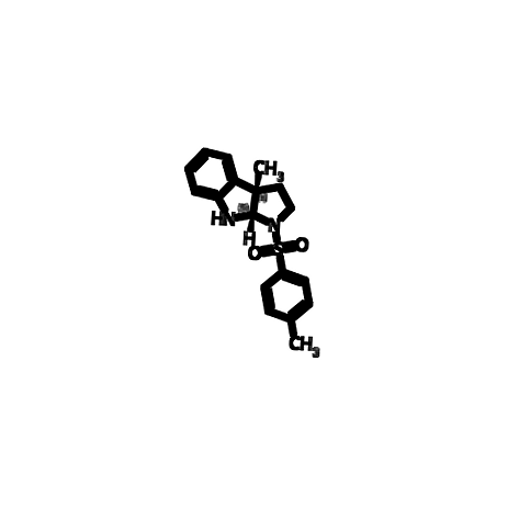 Cc1ccc(S(=O)(=O)N2CC[C@@]3(C)c4ccccc4N[C@@H]23)cc1